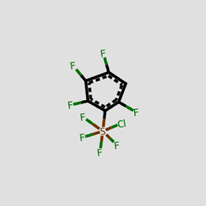 Fc1cc(F)c(S(F)(F)(F)(F)Cl)c(F)c1F